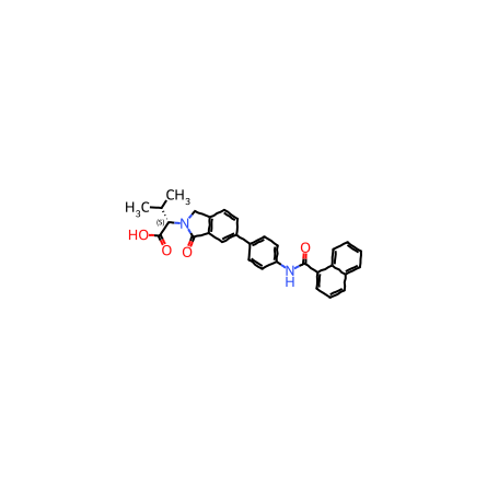 CC(C)[C@@H](C(=O)O)N1Cc2ccc(-c3ccc(NC(=O)c4cccc5ccccc45)cc3)cc2C1=O